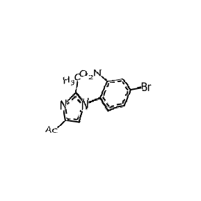 CC(=O)c1cn(-c2ccc(Br)cc2[N+](=O)[O-])c(C)n1